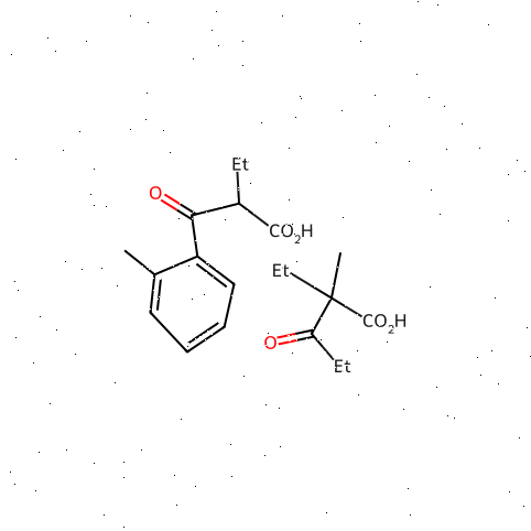 CCC(=O)C(C)(CC)C(=O)O.CCC(C(=O)O)C(=O)c1ccccc1C